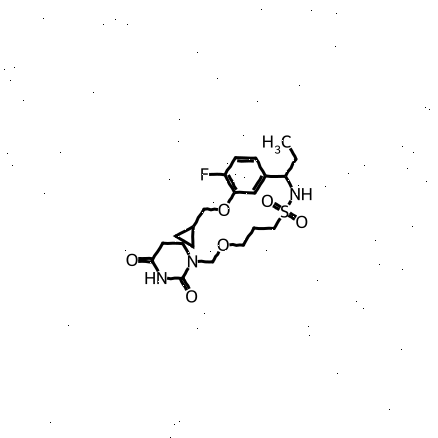 CCC(NS(=O)(=O)CCCOCN1CCC(=O)NC1=O)c1ccc(F)c(OCC2CC2)c1